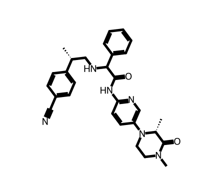 C[C@H](CNC(C(=O)Nc1ccc(N2CCN(C)C(=O)[C@H]2C)cn1)c1ccccc1)c1ccc(C#N)cc1